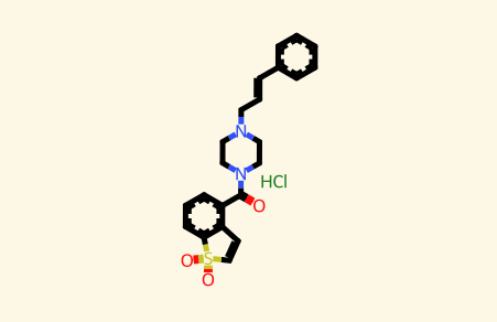 Cl.O=C(c1cccc2c1C=CS2(=O)=O)N1CCN(CC=Cc2ccccc2)CC1